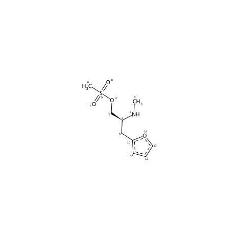 CN[C@H](COS(C)(=O)=O)Cc1ccco1